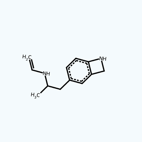 C=CNC(C)Cc1ccc2c(c1)CN2